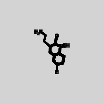 Cl.NCCc1cc2cc(Cl)ccc2[nH]c1=O